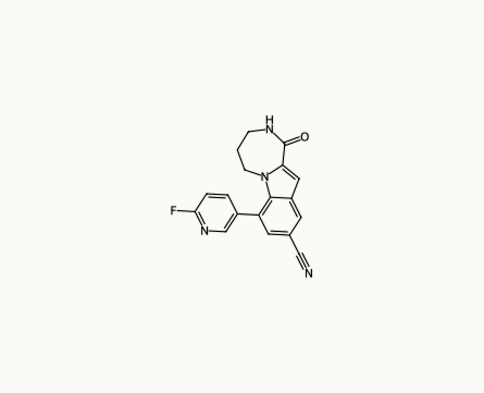 N#Cc1cc(-c2ccc(F)nc2)c2c(c1)cc1n2CCCNC1=O